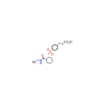 CCOC(=O)SCc1ccc(S(=O)(=O)C[C@@H]2CCCC[C@H]2C(=O)NCC#N)cc1